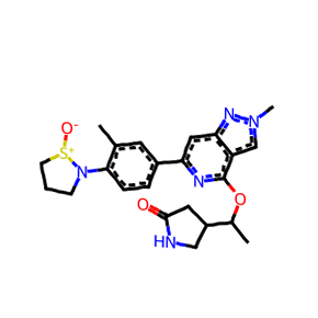 Cc1cc(-c2cc3nn(C)cc3c(OC(C)C3CNC(=O)C3)n2)ccc1N1CCC[S+]1[O-]